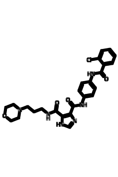 O=C(Nc1ccc(NC(=O)c2nc[nH]c2C(=O)NCCCN2CCOCC2)cc1)c1ccccc1Cl